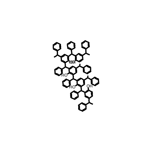 CC(c1ccccc1)c1ccc(O)c(C(c2ccccc2)c2cc(C(C)c3ccccc3)cc(C(c3ccccc3)c3cc(C(C)c4ccccc4)cc(C(c4ccccc4)c4cc(C(C)c5ccccc5)cc(C(c5ccccc5)c5cc(C(C)c6ccccc6)ccc5O)c4O)c3O)c2O)c1